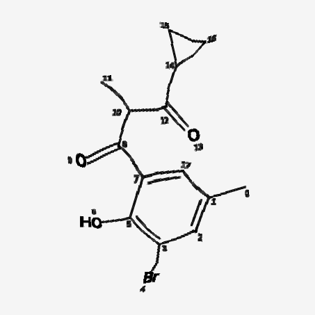 Cc1cc(Br)c(O)c(C(=O)C(C)C(=O)C2CC2)c1